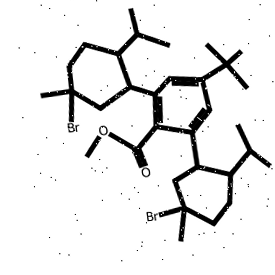 COC(=O)c1c(C2CC(C)(Br)CCC2C(C)C)cc(C(C)(C)C)cc1C1CC(C)(Br)CCC1C(C)C